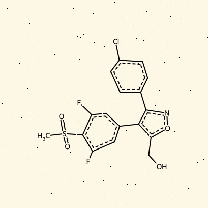 CS(=O)(=O)c1c(F)cc(-c2c(-c3ccc(Cl)cc3)noc2CO)cc1F